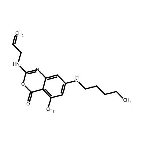 C=CCNc1nc2cc(NCCCCC)cc(C)c2c(=O)o1